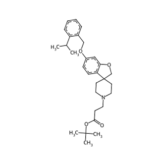 CC(C)c1ccccc1COc1ccc2c(c1)OCC21CCN(CCC(=O)OC(C)(C)C)CC1